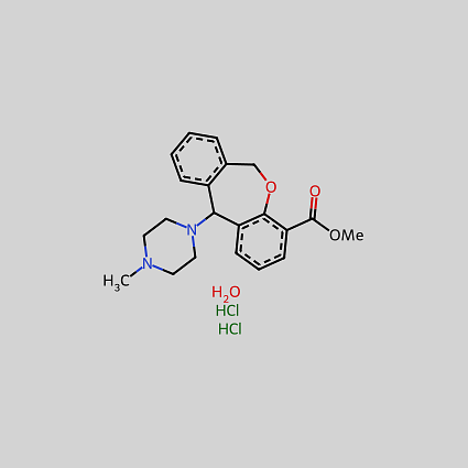 COC(=O)c1cccc2c1OCc1ccccc1C2N1CCN(C)CC1.Cl.Cl.O